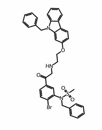 CS(=O)(=O)N(Cc1ccccc1)c1cc(C(=O)CNCCOc2ccc3c4ccccc4n(Cc4ccccc4)c3c2)ccc1Br